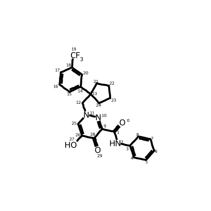 O=C(Nc1ccccc1)c1nn(CC2(c3cccc(C(F)(F)F)c3)CCCC2)cc(O)c1=O